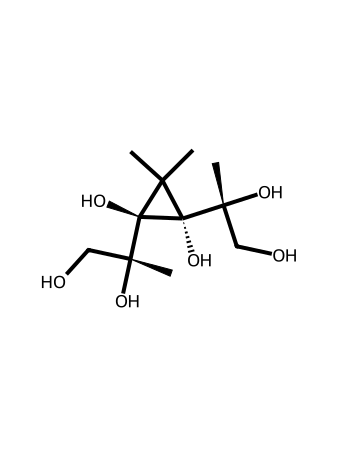 CC1(C)[C@@](O)([C@](C)(O)CO)[C@]1(O)[C@](C)(O)CO